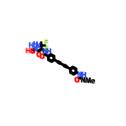 CNC(=O)Nc1ccc(C#CC#Cc2ccc(C(=O)N[C@H](C(=O)NO)C(C)(N)C(F)F)cc2)cc1